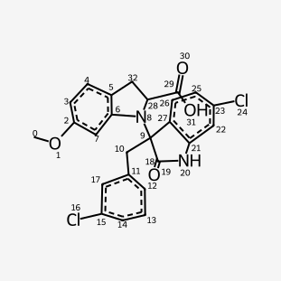 COc1ccc2c(c1)N(C1(Cc3cccc(Cl)c3)C(=O)Nc3cc(Cl)ccc31)C(C(=O)O)C2